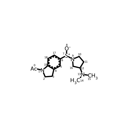 CC(=O)N1CCc2cc([S+]([O-])N3CCC(N(C)C)C3)ccc21